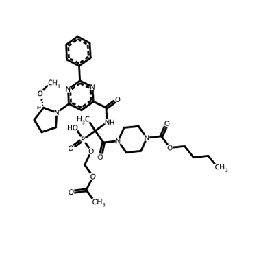 CCCCOC(=O)N1CCN(C(=O)C(C)(NC(=O)c2cc(N3CCC[C@@H]3OC)nc(-c3ccccc3)n2)P(=O)(O)OCOC(C)=O)CC1